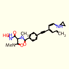 C=C/C=C(C#Cc1ccc(C(=O)N(C)C(C(=O)NC)C(=O)NO)cc1)\C=C/NC1CC1